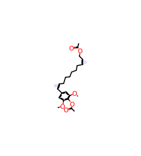 COc1cc(/C=C\CCCCCC/C=C\COC(C)=O)cc(OC)c1OC(C)=O